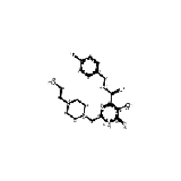 O=C(NCc1ccc(F)cc1)c1nc(CN2CCN(CCO)CC2)[nH]c(=O)c1O